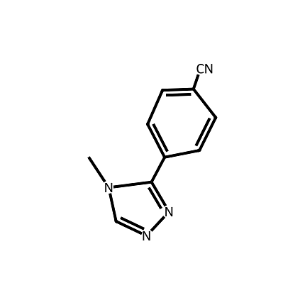 Cn1cnnc1-c1ccc(C#N)cc1